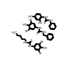 CCCCCNC(=S)Nc1cc(Br)c(O)c(Br)c1.Oc1c(Br)cc(NC(=S)NCc2ccccc2)cc1Br.Oc1ccc(NC(=S)Nc2ccccc2)c(O)c1